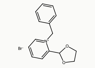 [Br-].c1ccc(C[n+]2ccccc2C2OCCO2)cc1